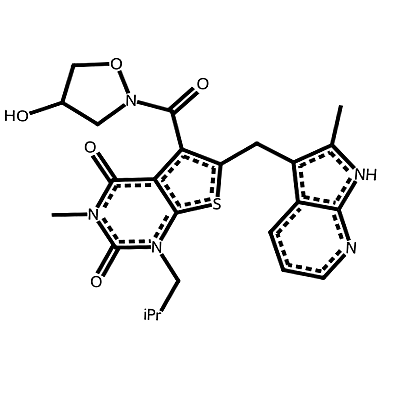 Cc1[nH]c2ncccc2c1Cc1sc2c(c1C(=O)N1CC(O)CO1)c(=O)n(C)c(=O)n2CC(C)C